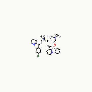 CN(C)CCC(c1ccc(Br)cc1)c1ccccn1.CN(C)CCOC(C)(c1ccccc1)c1ccccn1